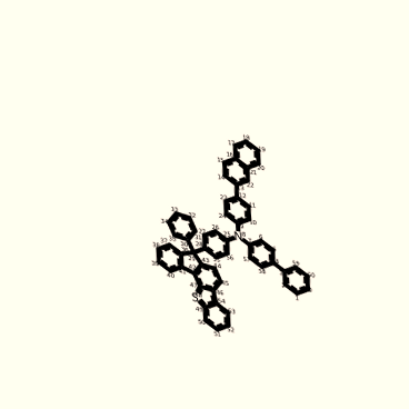 c1ccc(-c2ccc(N(c3ccc(-c4ccc5ccccc5c4)cc3)c3ccc(C4(c5ccccc5)c5ccccc5-c5c4ccc4c5sc5ccccc54)cc3)cc2)cc1